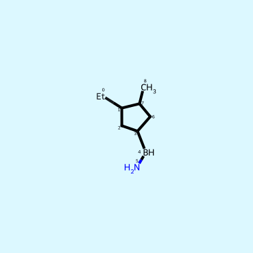 CCC1CC(BN)CC1C